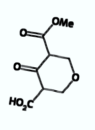 COC(=O)C1COCC(C(=O)O)C1=O